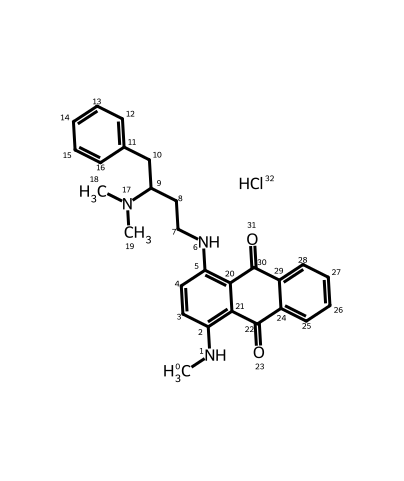 CNc1ccc(NCCC(Cc2ccccc2)N(C)C)c2c1C(=O)c1ccccc1C2=O.Cl